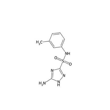 Cc1cccc(NS(=O)(=O)c2n[nH]c(N)n2)c1